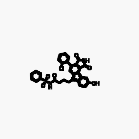 O=C(CCCn1c2ccc(O)cc2c2c3c(c(-c4ccccc4Cl)cc21)C(=O)NC3=O)NS(=O)(=O)c1ccccc1